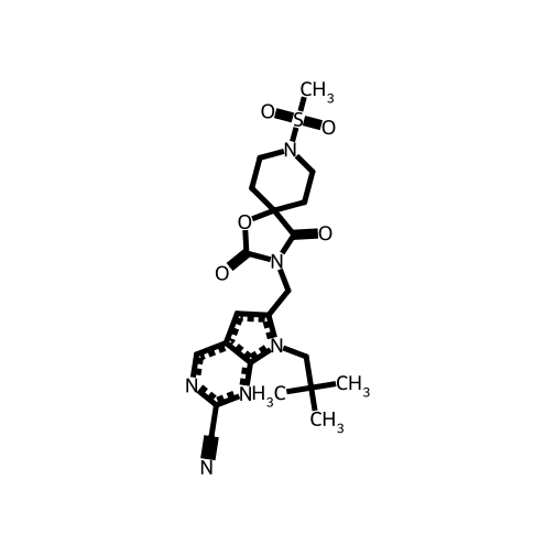 CC(C)(C)Cn1c(CN2C(=O)OC3(CCN(S(C)(=O)=O)CC3)C2=O)cc2cnc(C#N)nc21